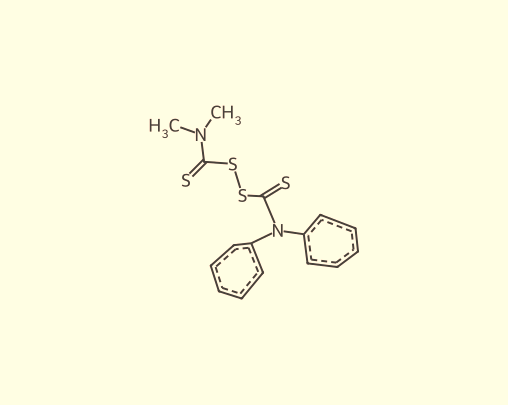 CN(C)C(=S)SSC(=S)N(c1ccccc1)c1ccccc1